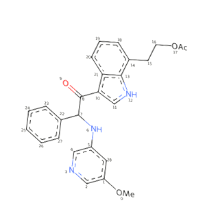 COc1cncc(NC(C(=O)c2c[nH]c3c(CCOC(C)=O)cccc23)c2ccccc2)c1